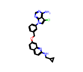 Nc1ncnc2c1c(Cl)cn2-c1cccc(COc2ccc3ccc(NCC4CC4)nc3c2)c1